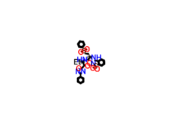 CC[C@H](NC(=O)[C@H](CCS(=O)(=O)c1ccccc1)NC1=NS(=O)(=O)c2ccccc21)C(=O)c1nc(-c2ccccc2)no1